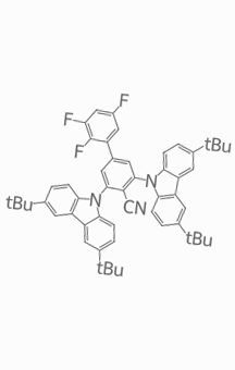 CC(C)(C)c1ccc2c(c1)c1cc(C(C)(C)C)ccc1n2-c1cc(-c2cc(F)cc(F)c2F)cc(-n2c3ccc(C(C)(C)C)cc3c3cc(C(C)(C)C)ccc32)c1C#N